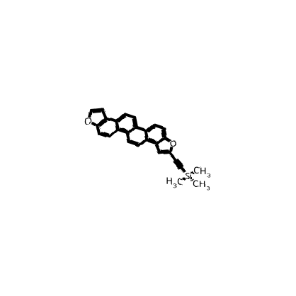 C[Si](C)(C)C#Cc1cc2c(ccc3c2ccc2c4ccc5occc5c4ccc32)o1